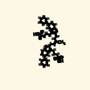 CC(=CCC1Sc2ccc(-c3ccccc3)cc2N1CCCS(=O)(=O)O)CCc1sc2ccc(-c3ccccc3)cc2[n+]1CCCS(=O)(=O)O